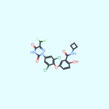 O=C(NC1CCC1)c1cc(Oc2c(Cl)cc(-n3nc(C(F)F)c(=O)[nH]c3=O)cc2Cl)ccc1O